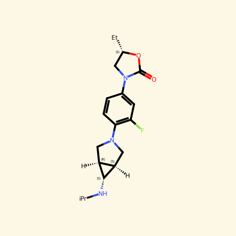 CC[C@H]1CN(c2ccc(N3C[C@@H]4[C@H](C3)[C@H]4NC(C)C)c(F)c2)C(=O)O1